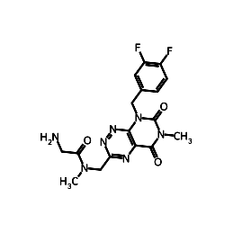 CN(Cc1nnc2c(n1)c(=O)n(C)c(=O)n2Cc1ccc(F)c(F)c1)C(=O)CN